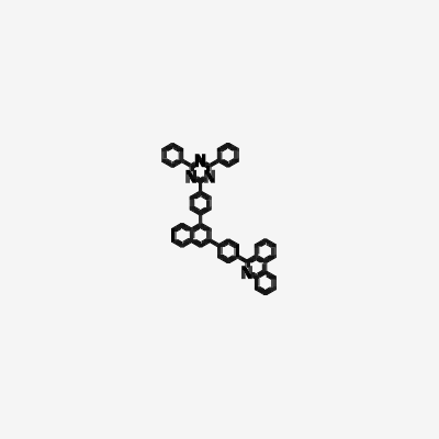 c1ccc(-c2nc(-c3ccccc3)nc(-c3ccc(-c4cc(-c5ccc(-c6nc7ccccc7c7ccccc67)cc5)cc5ccccc45)cc3)n2)cc1